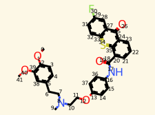 COc1ccc(CCN(C)CCOc2ccc(NC(=O)c3cccc4c(=O)c5cc(F)ccc5sc34)cc2)cc1OC